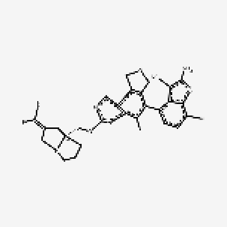 N#Cc1c(N)sc2c(F)ccc(-c3c4c(c5cnc(OC[C@]67CCCN6CC(=C(F)F)C7)nc5c3F)COC4)c12